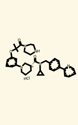 CC(C)(Oc1cccc(N2CCC[C@@H](C(=O)N(Cc3ccc(-c4ccccn4)cc3)C3CC3)C2)c1)C(=O)N1CCNCC1.Cl